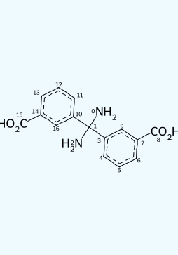 NC(N)(c1cccc(C(=O)O)c1)c1cccc(C(=O)O)c1